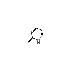 C=C1C=[C]C=CN1